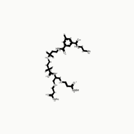 CNC(=O)CCOCC(COCCC(=O)NC)NC(=O)C(C)(C)CCOC(C)(C)CCNC(=O)c1cc(C)cc(C(=O)NCCC(C)C)c1